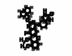 C=C(c1ncc2c(N3CCCC4(CNC(=O)N4)C3)nc(OCC34CCCN3CCC4)nc2c1F)c1c(C)cccc1Cl